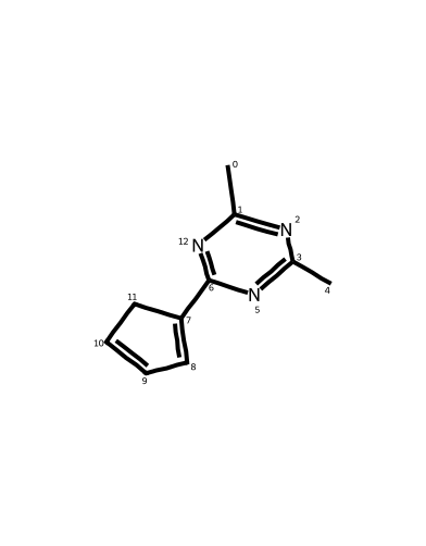 Cc1nc(C)nc(C2=CC=CC2)n1